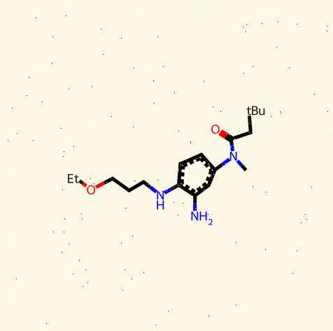 CCOCCCNc1ccc(N(C)C(=O)CC(C)(C)C)cc1N